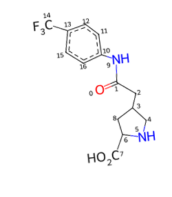 O=C(CC1CNC(C(=O)O)C1)Nc1ccc(C(F)(F)F)cc1